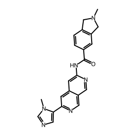 CN1Cc2ccc(C(=O)Nc3cc4cc(-c5cncn5C)ncc4cn3)cc2C1